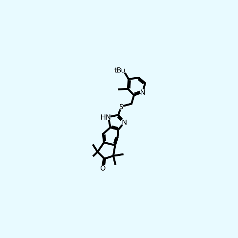 Cc1c(C(C)(C)C)ccnc1CSc1nc2cc3c(cc2[nH]1)C(C)(C)C(=O)C3(C)C